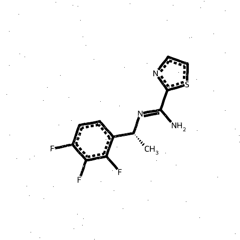 C[C@@H](/N=C(\N)c1nccs1)c1ccc(F)c(F)c1F